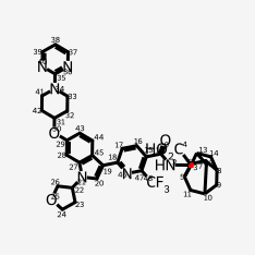 O=C(NC1(C(=O)O)C2CCC3CC(C2)CC1C3)c1ccc(-c2cn(C3CCOC3)c3cc(OC4CCN(c5ncccn5)CC4)ccc23)nc1C(F)(F)F